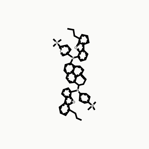 CCCc1cccc2c1oc1c(N(c3ccc([Si](C)(C)C)cc3)c3ccc4ccc5c6c(ccc3c46)=CCC5N(c3ccc([Si](C)(C)C)cc3)c3cccc4c3oc3c(CCC)cccc34)cccc12